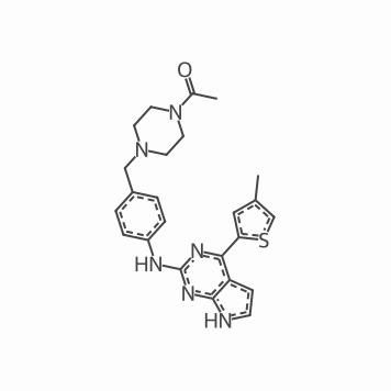 CC(=O)N1CCN(Cc2ccc(Nc3nc(-c4cc(C)cs4)c4cc[nH]c4n3)cc2)CC1